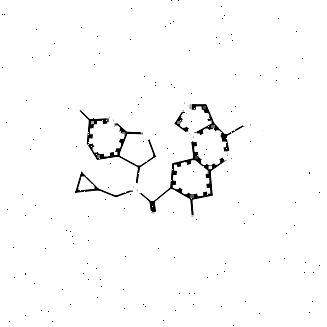 Nc1nc2cc(F)c(C(=O)N(CC3CC3)C3COc4nc(C(F)(F)F)ccc43)cc2n2cncc12